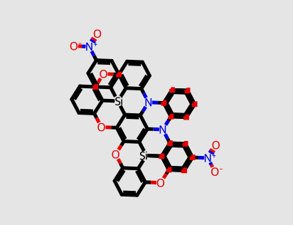 O=[N+]([O-])c1ccc([Si]23c4c5cccc4Oc4c6c7c(c(c42)N(c2ccccc2)c2cccc(c23)O5)N(c2ccccc2)c2cccc3c2[Si]7(c2ccc([N+](=O)[O-])cc2)c2c(cccc2O6)O3)cc1